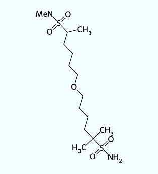 CNS(=O)(=O)C(C)CCCCOCCCCC(C)(C)S(N)(=O)=O